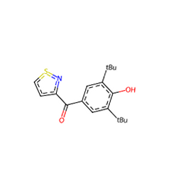 CC(C)(C)c1cc(C(=O)c2ccsn2)cc(C(C)(C)C)c1O